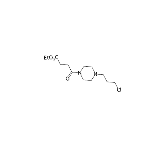 CCOC(=O)CCC(=O)N1CCN(CCCCl)CC1